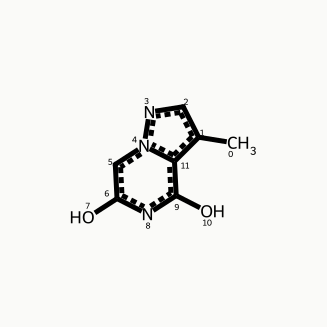 Cc1cnn2cc(O)nc(O)c12